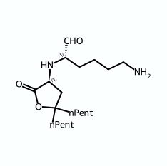 CCCCCC1(CCCCC)C[C@H](N[C@H]([C]=O)CCCCN)C(=O)O1